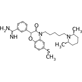 CSc1ccc2c(c1)N(CCCCCN1[C@H](C)CCC[C@@H]1C)C(=O)C(c1cccc(C(=N)N)c1)O2